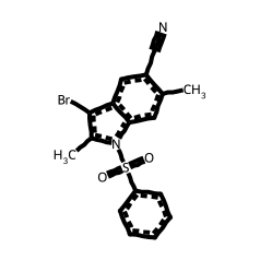 Cc1cc2c(cc1C#N)c(Br)c(C)n2S(=O)(=O)c1ccccc1